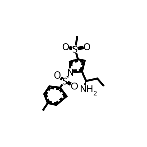 CC[C@@H](N)c1cc(S(C)(=O)=O)cn1S(=O)(=O)c1ccc(C)cc1